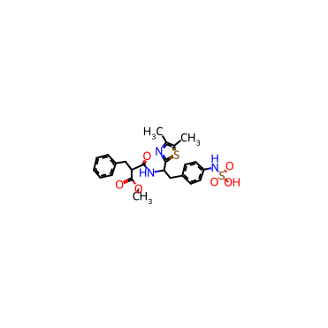 COC(=O)C(Cc1ccccc1)C(=O)NC(Cc1ccc(NS(=O)(=O)O)cc1)c1nc(C)c(C)s1